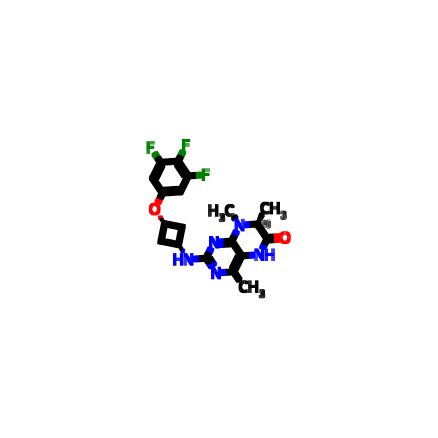 Cc1nc(N[C@H]2C[C@@H](Oc3cc(F)c(F)c(F)c3)C2)nc2c1NC(=O)[C@H](C)N2C